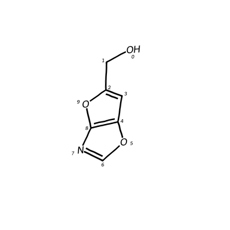 OCc1cc2ocnc2o1